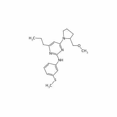 CCCc1cc(N2CCCC2COC)nc(Nc2cccc(SC)c2)n1